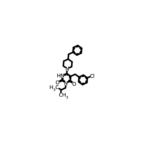 CC(C)Cn1c(=O)[nH]c(N2CCC(Cc3ccccc3)CC2)c(Cc2cccc(Cl)c2)c1=O